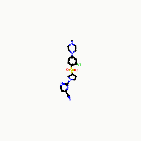 CN1CCN(c2ccc(S(=O)(=O)C3CCN(c4nccc(C#N)n4)C3)c(Cl)c2)CC1